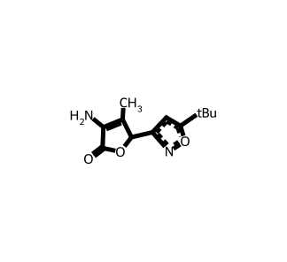 CC1=C(N)C(=O)OC1c1cc(C(C)(C)C)on1